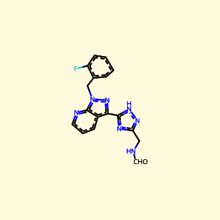 O=CNCc1n[nH]c(-c2nn(Cc3ccccc3F)c3ncccc23)n1